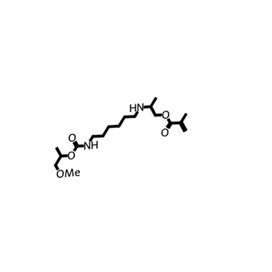 C=C(C)C(=O)OCC(C)NCCCCCCNC(=O)OC(C)COC